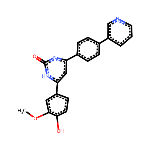 COc1cc(-c2cc(-c3ccc(-c4cccnc4)cc3)nc(=O)[nH]2)ccc1O